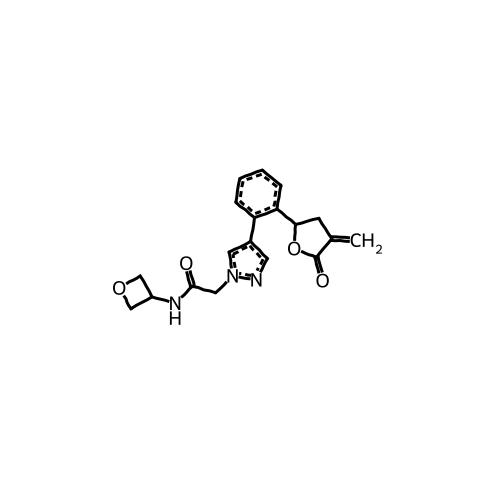 C=C1CC(c2ccccc2-c2cnn(CC(=O)NC3COC3)c2)OC1=O